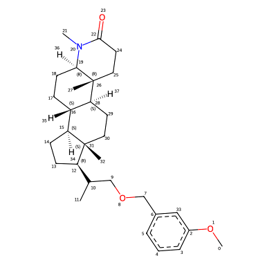 COc1cccc(COCC(C)[C@H]2CC[C@H]3[C@@H]4CC[C@H]5N(C)C(=O)CC[C@]5(C)[C@H]4CC[C@]23C)c1